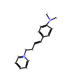 CN(C)c1ccc(/C=C/CC[n+]2ccccc2)cc1